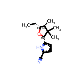 CC[C@H]1O[C@@H](c2ccc(C#N)[nH]2)C(C)(C)[C@@H]1C